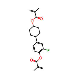 C=C(C)C(=O)Oc1ccc(C2CCC(OC(=O)C(=C)C)CC2)cc1F